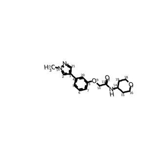 Cn1cc(-c2c[c]cc(OCC(=O)NC3CCOCC3)c2)cn1